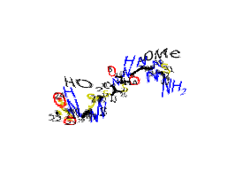 CON=C(C(=O)NC1C(=O)N2C(C(=O)O)=C(CSc3nnc(CNS(C)(=O)=O)s3)CS[C@@H]12)c1nsc(N)n1